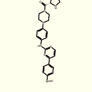 CC(=O)Nc1ccc(-c2ccnc(Nc3ccc(N4CCN(C(=O)[C@@H]5CCCN5)CC4)cc3)n2)cc1